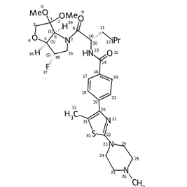 COC1(OC)CO[C@H]2[C@@H]1N(C(=O)[C@H](CC(C)C)NC(=O)c1ccc(-c3nc(N4CCN(C)CC4)sc3C)cc1)C[C@@H]2F